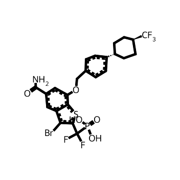 NC(=O)c1cc(OCc2ccc([C@H]3CC[C@H](C(F)(F)F)CC3)cc2)c2sc(C(F)(F)P(=O)(O)O)c(Br)c2c1